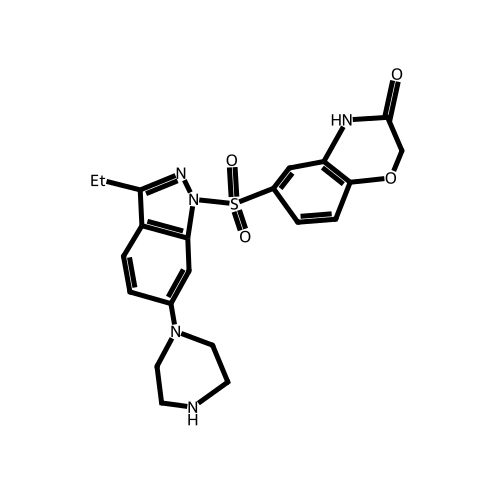 CCc1nn(S(=O)(=O)c2ccc3c(c2)NC(=O)CO3)c2cc(N3CCNCC3)ccc12